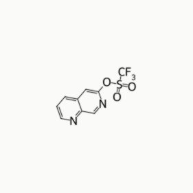 O=S(=O)(Oc1cc2cccnc2cn1)C(F)(F)F